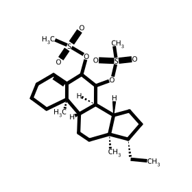 CC[C@H]1CC[C@H]2[C@@H]3C(OS(C)(=O)=O)C(OS(C)(=O)=O)C4=CCCC[C@]4(C)[C@H]3CC[C@]12C